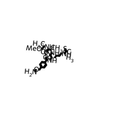 COC(=O)[C@H](C)NC(=O)[C@H](C)NC(=O)[C@H](CCCCNC(C)=S)NC(=O)c1ccc(CON)cc1